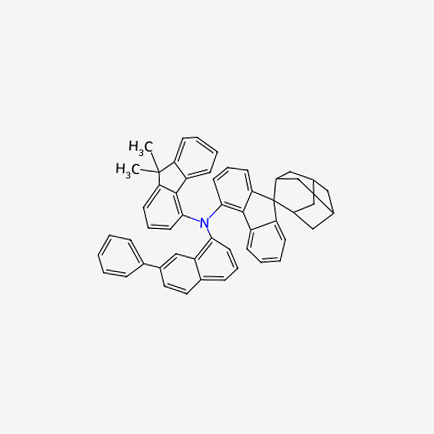 CC1(C)c2ccccc2-c2c(N(c3cccc4c3-c3ccccc3C43C4CC5CC(C4)CC3C5)c3cccc4ccc(-c5ccccc5)cc34)cccc21